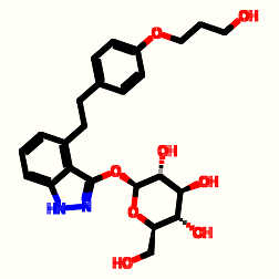 OCCCOc1ccc(CCc2cccc3[nH]nc(O[C@@H]4O[C@H](CO)[C@@H](O)[C@H](O)[C@H]4O)c23)cc1